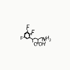 CC(CC(CN)C(=O)O)c1cc(F)cc(F)c1F